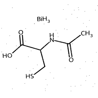 CC(=O)NC(CS)C(=O)O.[BiH3]